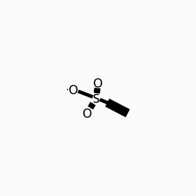 C#CS([O])(=O)=O